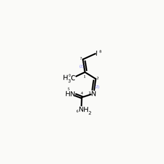 CC(/C=N\C(=N)N)=C/I